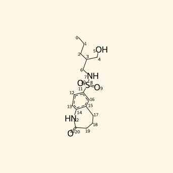 CCCC(CO)CNS(=O)(=O)c1ccc2c(c1)CCCC(=O)N2